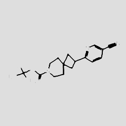 CC(C)(C)OC(=O)N1CCC2(CC1)CC(c1ccc(C#N)cn1)C2